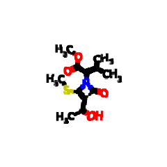 COC(=O)C(=C(C)C)N1C(=O)[C@H]([C@H](C)O)[C@H]1SC